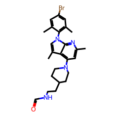 Cc1cc(N2CCC(CCNC=O)CC2)c2c(C)cn(-c3c(C)cc(Br)cc3C)c2n1